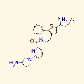 NC1CCN(c2cccc(C(=O)N3CCc4cc(C(N)CC5CC5)sc4-c4ccccc43)n2)C1